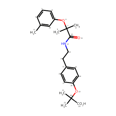 Cc1cccc(OC(C)(C)C(=O)NCCc2ccc(OC(C)(C)C(=O)O)cc2)c1